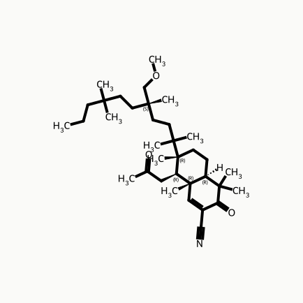 CCCC(C)(C)CC[C@@](C)(CCC(C)(C)[C@]1(C)CC[C@H]2C(C)(C)C(=O)C(C#N)=C[C@]2(C)[C@H]1CC(C)=O)COC